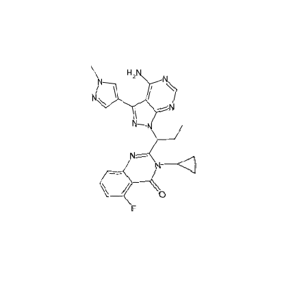 CCC(c1nc2cccc(F)c2c(=O)n1C1CC1)n1nc(-c2cnn(C)c2)c2c(N)ncnc21